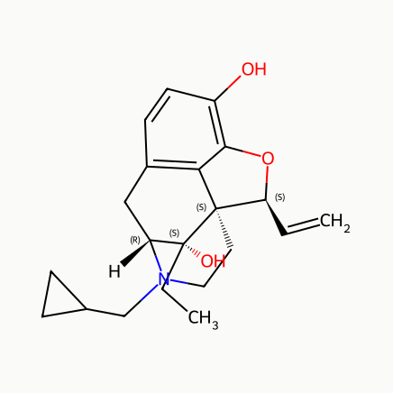 C=C[C@@H]1Oc2c(O)ccc3c2[C@@]12CCN(CC1CC1)[C@H](C3)[C@]2(O)CC